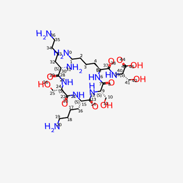 NCCCC[C@H](NC(=O)[C@H](CO)NC(=O)[C@H](CCCCN)NC(=O)[C@H](CO)NC(=O)[C@@H](N)CCCCN)C(=O)N[C@@H](CO)C(=O)O